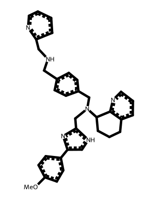 COc1ccc(-c2c[nH]c(CN(Cc3ccc(CNCc4ccccn4)cc3)C3CCCc4cccnc43)n2)cc1